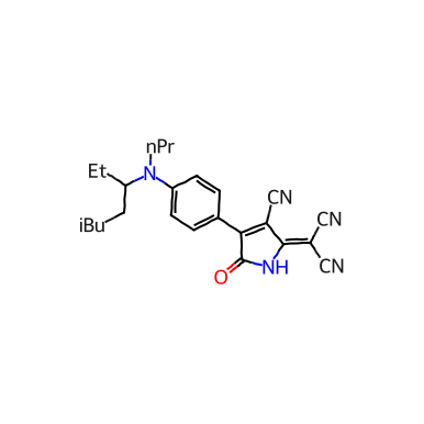 CCCN(c1ccc(C2=C(C#N)C(=C(C#N)C#N)NC2=O)cc1)C(CC)CC(C)CC